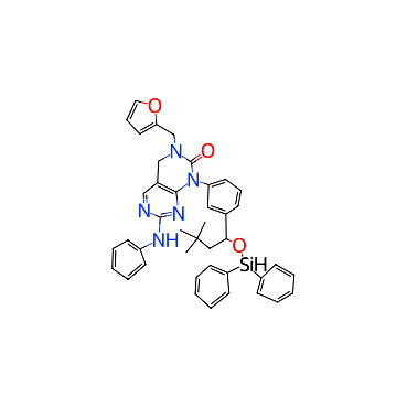 CC(C)(C)CC(O[SiH](c1ccccc1)c1ccccc1)c1cccc(N2C(=O)N(Cc3ccco3)Cc3cnc(Nc4ccccc4)nc32)c1